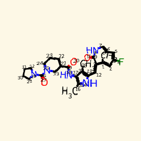 C/C1=C\C(F)=C/C=C/NC(=O)\C1=C/c1[nH]c(C)c(NC(=O)C2CCCN(C(=O)N3CCCC3)C2)c1C